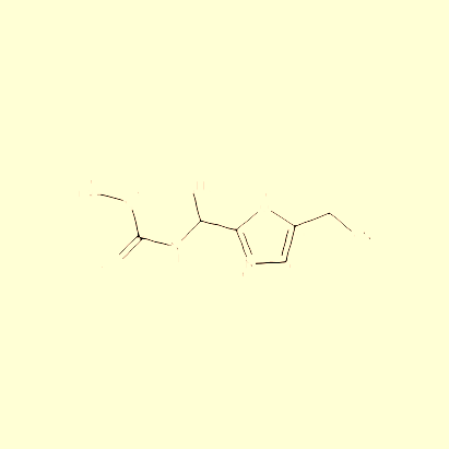 CC(NC(=O)OC(C)(C)C)c1ncc(CC#N)o1